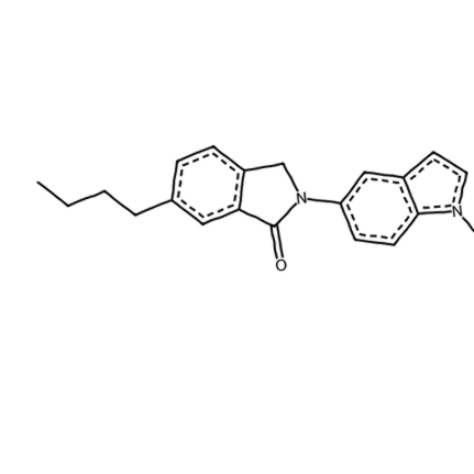 CCCCc1ccc2c(c1)C(=O)N(c1ccc3c(ccn3C)c1)C2